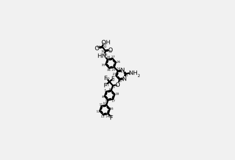 Nc1nc(OC(c2ccc(-c3cccc(F)c3)cc2)C(F)(F)F)cc(-c2ccc(NC(=O)C(=O)O)cc2)n1